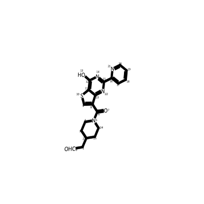 O=CCC1CCN(C(=O)c2csc3c(O)nc(-c4ccccn4)nc23)CC1